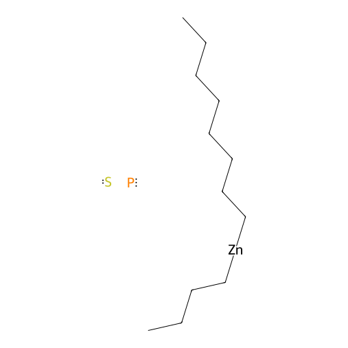 CCCCCCC[CH2][Zn][CH2]CCC.[P].[S]